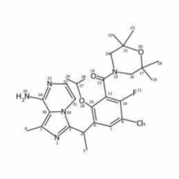 Cc1nc(C(C)c2cc(Cl)c(F)c(C(=O)N3CC(C)(C)OC(C)(C)C3)c2OC(C)C)n2ccnc(N)c12